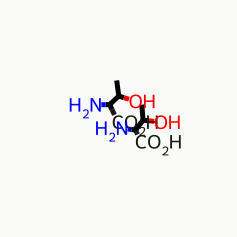 CC(O)C(N)C(=O)O.CC(O)C(N)C(=O)O